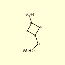 COCC1CC(O)C1